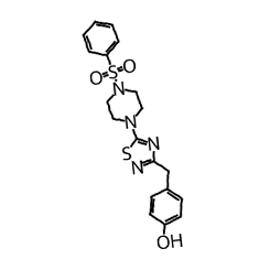 O=S(=O)(c1ccccc1)N1CCN(c2nc(Cc3ccc(O)cc3)ns2)CC1